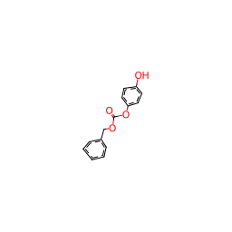 O=C(OCc1ccccc1)Oc1ccc(O)cc1